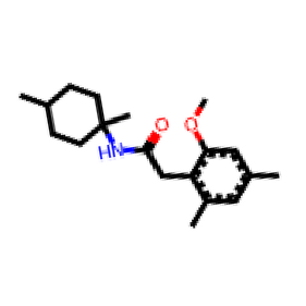 COc1cc(C)cc(C)c1CC(=O)NC1(C)CCC(C)CC1